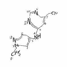 Cn1cc(Nc2cc(Cl)ncn2)cn1